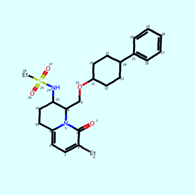 CCc1ccc2n(c1=O)C(COC1CCC(c3ccccc3)CC1)C(NS(=O)(=O)CC)CC2